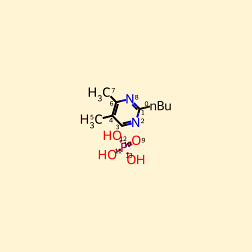 CCCCc1ncc(C)c(C)n1.O=P(O)(O)O